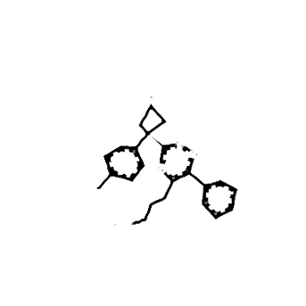 CC(=O)OCCCc1nc([C@]2(c3ccc(Cl)cc3)C[C@@H](F)C2)nnc1-c1ccccc1